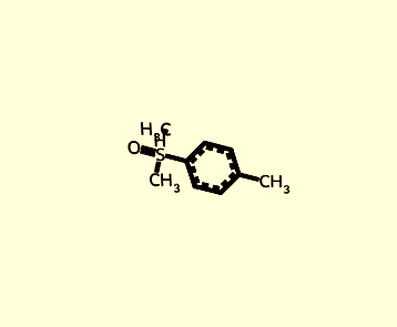 Cc1ccc([SH](C)(C)=O)cc1